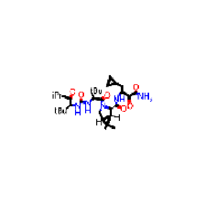 CC(C)C(=O)[C@@H](NC(=O)N[C@H](C(=O)N1C[C@H]2[C@@H]([C@H]1C(=O)NC(CC1CC1)C(=O)C(N)=O)C2(C)C)C(C)(C)C)C(C)(C)C